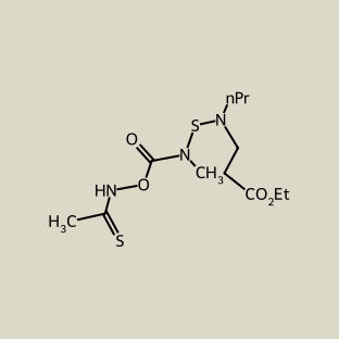 CCCN(CCC(=O)OCC)SN(C)C(=O)ONC(C)=S